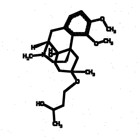 COc1ccc2c(c1OC)[C@]13CCN(C)[C@H](C2)C1(O)CCC(C)(OCCC(C)O)C3